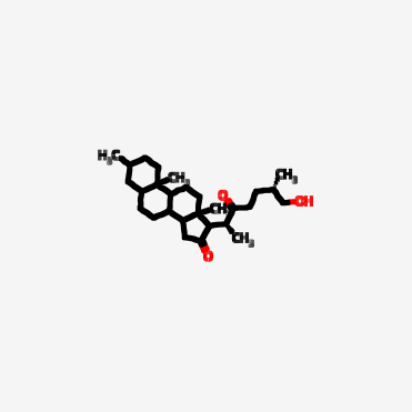 CC1CCC2(C)C(CCC3C2CCC2(C)C3CC(=O)C2[C@H](C)C(=O)CC[C@H](C)CO)C1